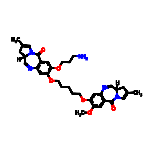 COc1cc2c(cc1OCCCCCOc1cc3c(cc1OCCCN)C(=O)N1C=C(C)C[C@H]1C=N3)N=C[C@@H]1CC(C)=CN1C2=O